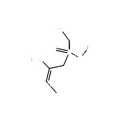 C/C=C(\CP(=O)(CC(C)C)OCC)C(=O)O